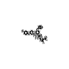 CC(=O)c1sc(NC(=O)N[C@@H]2CCN(Cc3ccoc3)C[C@H]2CN2CCC[C@@H](Cc3ccc(F)cc3)C2)nc1C